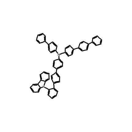 c1ccc(-c2ccc(-c3ccc(N(c4ccc(-c5ccccc5)cc4)c4ccc(-c5ccc(-c6ccccc6-n6c7ccccc7c7ccccc76)cc5)cc4)cc3)cc2)cc1